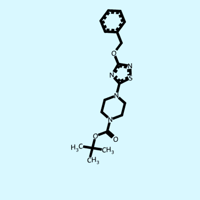 CC(C)(C)OC(=O)N1CCN(c2nc(OCc3ccccc3)ns2)CC1